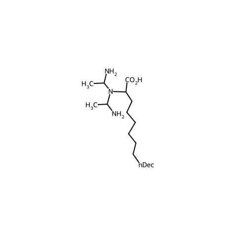 CCCCCCCCCCCCCCCCC(C(=O)O)N(C(C)N)C(C)N